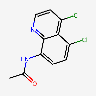 CC(=O)Nc1ccc(Cl)c2c(Cl)ccnc12